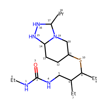 CCNC(=O)NCC(CC)C(CC)SC1CCC2NNC(C(C)C)N2C1